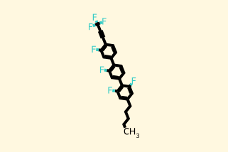 CCCCCc1cc(F)c(-c2ccc(-c3ccc(C#CC(F)(F)F)c(F)c3)c(F)c2)c(F)c1